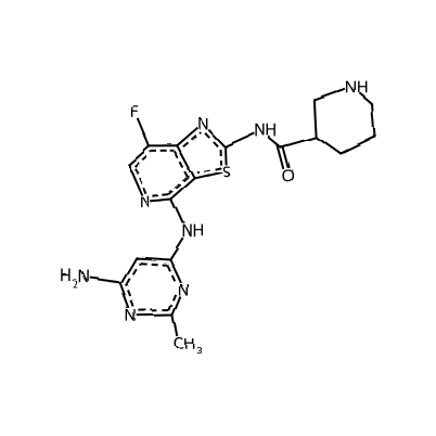 Cc1nc(N)cc(Nc2ncc(F)c3nc(NC(=O)C4CCCNC4)sc23)n1